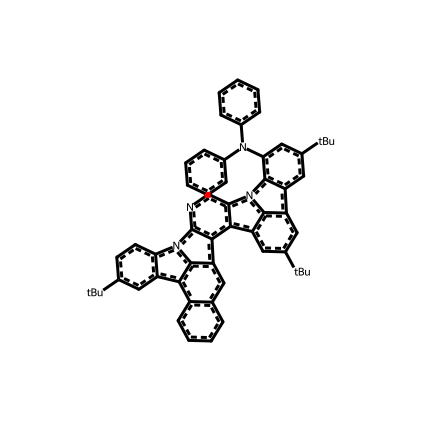 CC(C)(C)c1ccc2c(c1)c1c3ccccc3cc3c4c5c6cc(C(C)(C)C)cc7c8cc(C(C)(C)C)cc(N(c9ccccc9)c9ccccc9)c8n(c5cnc4n2c31)c76